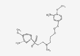 COc1ccc(SOOCCN(C)CCS(=O)(=O)c2ccc(OC)c(N)c2)cc1N